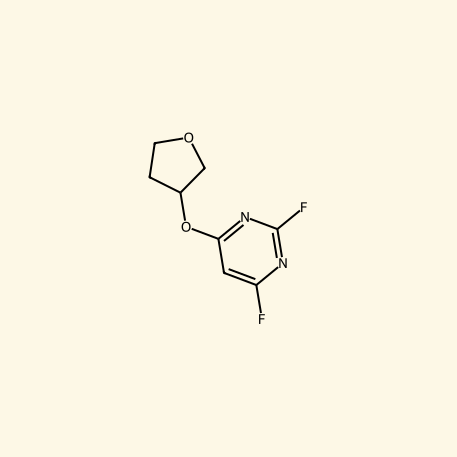 Fc1cc(OC2CCOC2)nc(F)n1